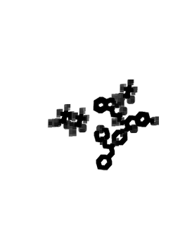 O=C(CC1NCc2ccccc21)NC(Cc1ccc(Cl)cc1)C(=O)N1CCN(C(CC2CCCCC2)CN2CCOCC2)CC1.O=C(O)C(F)(F)F.O=C(O)C(F)(F)F.O=C(O)C(F)(F)F